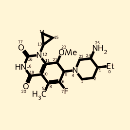 CCC1CCN(C2C(F)=C(C)c3c(n(C4CC4)c(=O)[nH]c3=O)C2OC)CC1N